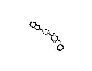 c1ccc(CC2COC(N3CCN(C4Cc5ccccc5C4)CC3)CO2)cc1